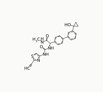 C#Cc1nc(NC(=O)N[C@@H](C(=O)NC)c2ccc(-c3cccc(C4(O)CC4)c3)cc2)cs1